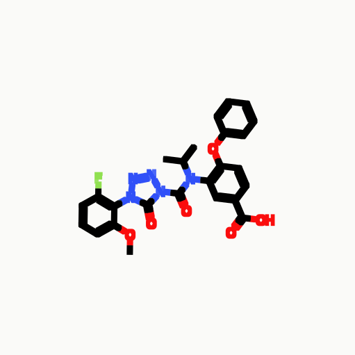 COc1cccc(F)c1-n1nnn(C(=O)N(c2cc(C(=O)O)ccc2Oc2ccccc2)C(C)C)c1=O